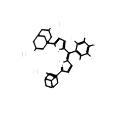 CC1CC2CC(C)CC(c3ccc(/C(=C4/C=CC(C56CC(C)C7C(CC7C5)C6)=N4)c4c(F)c(F)c(F)c(F)c4F)[nH]3)(C1)C2